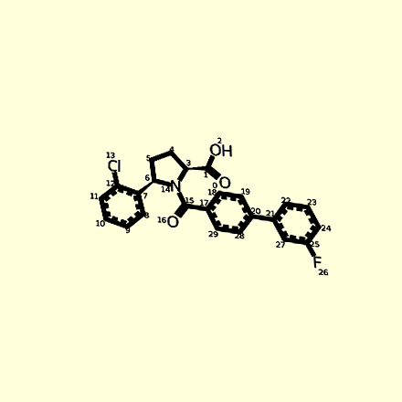 O=C(O)[C@@H]1CC[C@H](c2ccccc2Cl)N1C(=O)c1ccc(-c2cccc(F)c2)cc1